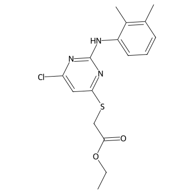 CCOC(=O)CSc1cc(Cl)nc(Nc2cccc(C)c2C)n1